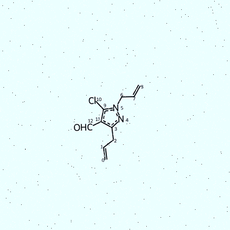 C=CCc1nn(CC=C)c(Cl)c1C=O